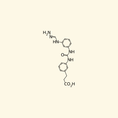 NN=CNc1cccc(NC(=O)Nc2cccc(CCC(=O)O)c2)c1